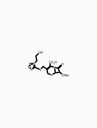 COC1C(=O)N2C(C(=O)O)=C(CSc3nnnn3CCO)COC12